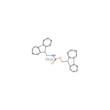 O=C(N[C@H](C(=O)O)C1c2ccccc2-c2ccccc21)OCC1c2ccccc2-c2ccccc21